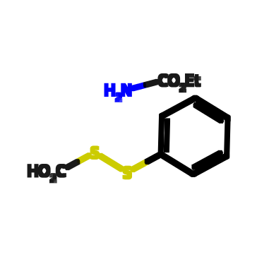 CCOC(N)=O.O=C(O)SSc1ccccc1